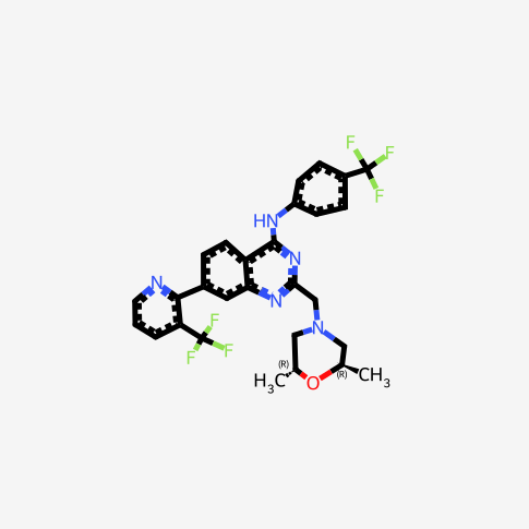 C[C@@H]1CN(Cc2nc(Nc3ccc(C(F)(F)F)cc3)c3ccc(-c4ncccc4C(F)(F)F)cc3n2)C[C@@H](C)O1